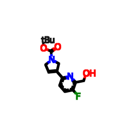 CC(C)(C)OC(=O)N1CC=C(c2ccc(F)c(CO)n2)C1